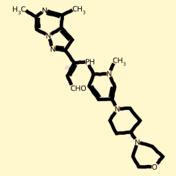 Cc1cn2nc(/C(=C/C=O)PC3C=CC(N4CCC(N5CCOCC5)CC4)=CN3C)cc2c(C)n1